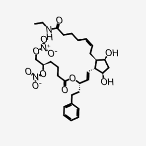 CCNC(=O)CCC/C=C\C[C@@H]1[C@@H](/C=C/[C@H](CCc2ccccc2)OC(=O)CCC[C@H](CO[N+](=O)[O-])O[N+](=O)[O-])[C@H](O)C[C@@H]1O